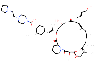 CO[C@H]1C[C@@H](C)C/C(C)=C/[C@@H](C/C=C/CO)C(=O)C[C@H](O)[C@@H](C)[C@@H](/C(C)=C/[C@@H]2CC[C@@H](OC(O)N3CCN(CCN4CCCC4)CC3)[C@H](OC)C2)OC(=O)[C@@H]2CCCCN2C(=O)C(O)[C@]2(O)O[C@H]1[C@@H](OC)C[C@H]2C